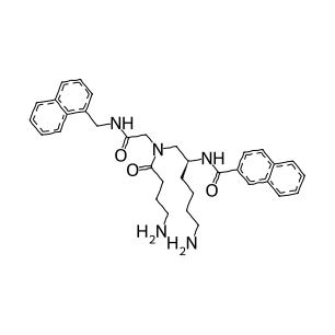 NCCCC[C@@H](CN(CC(=O)NCc1cccc2ccccc12)C(=O)CCCN)NC(=O)c1ccc2ccccc2c1